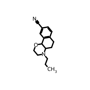 CCCN1CCOC2c3cc(C#N)ccc3CCC21